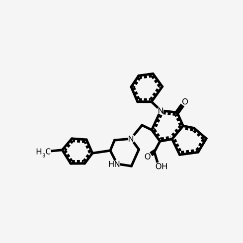 Cc1ccc(C2CN(Cc3c(C(=O)O)c4ccccc4c(=O)n3-c3ccccc3)CCN2)cc1